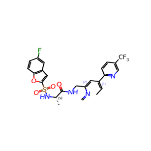 C=N/C(=C\C(=C/C)c1ccc(C(F)(F)F)cn1)CNC(=O)[C@H](C)NS(=O)(=O)c1cc2cc(F)ccc2o1